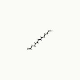 FCCCCCC=CCCCCCF